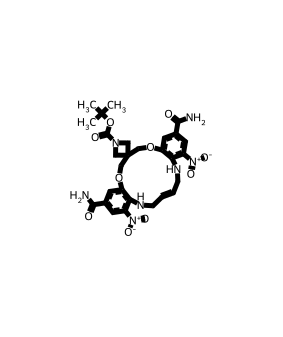 CC(C)(C)OC(=O)N1CC2(COc3cc(C(N)=O)cc([N+](=O)[O-])c3NC/C=C/CNc3c(cc(C(N)=O)cc3[N+](=O)[O-])OC2)C1